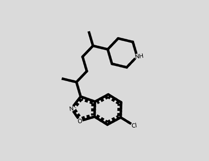 CC(CCC(C)C1CCNCC1)c1noc2cc(Cl)ccc12